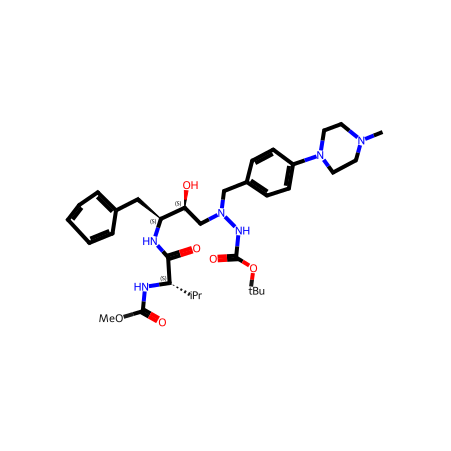 COC(=O)N[C@H](C(=O)N[C@@H](Cc1ccccc1)[C@@H](O)CN(Cc1ccc(N2CCN(C)CC2)cc1)NC(=O)OC(C)(C)C)C(C)C